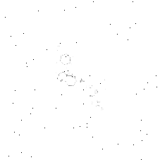 COc1cccc(-c2cnn3ccc(NCC4CCCN4C(=O)OC(C)(C)C)nc23)c1